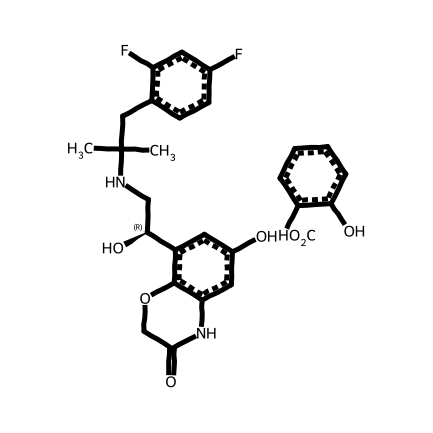 CC(C)(Cc1ccc(F)cc1F)NC[C@H](O)c1cc(O)cc2c1OCC(=O)N2.O=C(O)c1ccccc1O